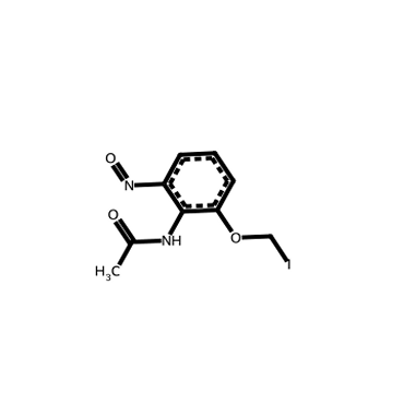 CC(=O)Nc1c(N=O)cccc1OCI